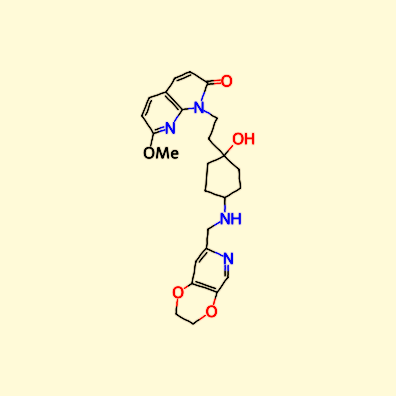 COc1ccc2ccc(=O)n(CCC3(O)CCC(NCc4cc5c(cn4)OCCO5)CC3)c2n1